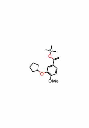 C=C(O[Si](C)(C)C)c1ccc(OC)c(OC2CCCC2)c1